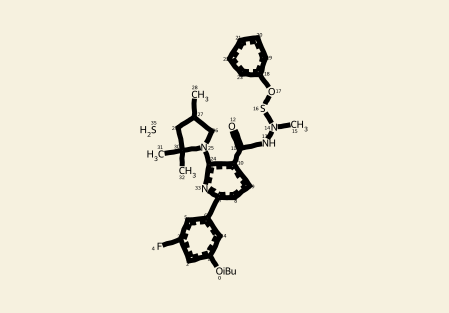 CC(C)COc1cc(F)cc(-c2ccc(C(=O)NN(C)SOc3ccccc3)c(N3CC(C)CC3(C)C)n2)c1.S